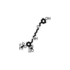 O=C(Oc1ccc(CCNCCCCCCOCCc2ccc(O)cc2)c2sc(=O)[nH]c12)C(F)(F)F